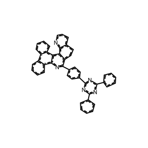 c1ccc(-c2nc(-c3ccccc3)nc(-c3ccc(-c4nc5c6ccccc6c6ccccc6c5c5c4ccc4cccnc45)cc3)n2)cc1